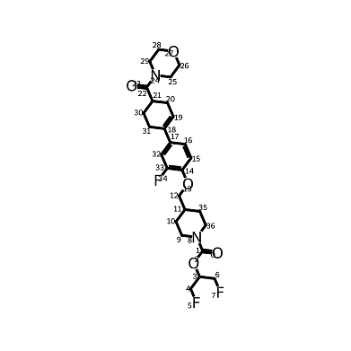 O=C(OC(CF)CF)N1CCC(COc2ccc(C3=CCC(C(=O)N4CCOCC4)CC3)cc2F)CC1